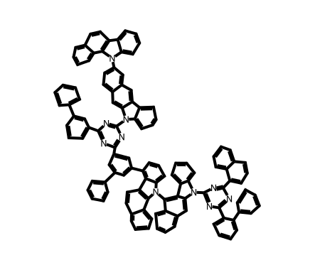 c1ccc(-c2cccc(-c3nc(-c4cc(-c5ccccc5)cc(-c5cccc6c5c5ccc7ccccc7c5n6-c5c6ccccc6cc6c5c5ccccc5n6-c5nc(-c6ccccc6-c6ccccc6)nc(-c6cccc7ccccc67)n5)c4)nc(-n4c5ccccc5c5cc6cc(-n7c8ccccc8c8ccc9ccccc9c87)ccc6cc54)n3)c2)cc1